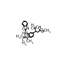 COC(=O)CC(c1ccc(N(C)C(C)(C)C)c(Nc2nc3ccccc3o2)c1)C(C)C